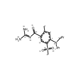 Cc1cc(N(C(C)C)C(C)C)c(S(C)(=O)=O)cc1C(=O)N=C(N)N